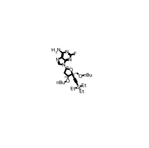 CCCCOC[C@@]1(C#C[Si](CC)(CC)CC)O[C@@H](n2cnc3c(N)nc(F)nc32)C[C@@H]1OCCCC